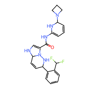 O=C(NC1=CC=CC(N2CCC2)N1)C1=CNC2C=CC(c3ccccc3C(F)F)NN12